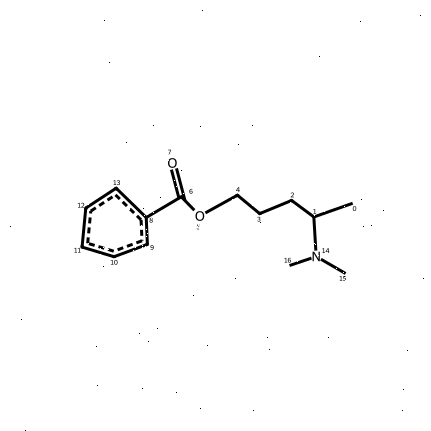 CC(CCCOC(=O)c1ccccc1)N(C)C